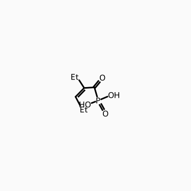 CCC=C(CC)C(=O)P(=O)(O)O